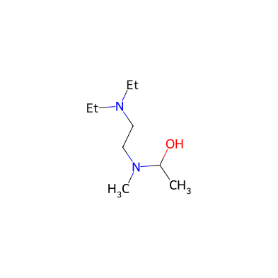 CCN(CC)CCN(C)C(C)O